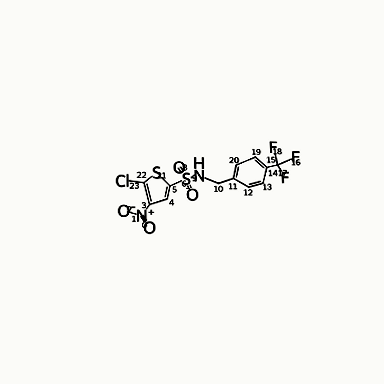 O=[N+]([O-])c1cc(S(=O)(=O)NCc2ccc(C(F)(F)F)cc2)sc1Cl